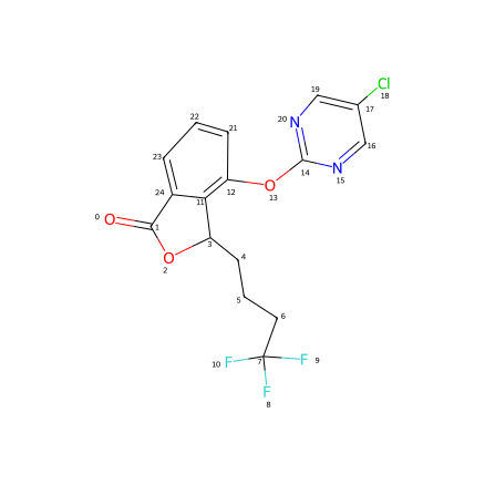 O=C1OC(CCCC(F)(F)F)c2c(Oc3ncc(Cl)cn3)cccc21